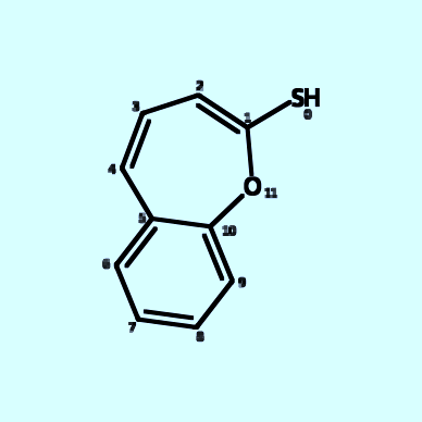 SC1=CC=Cc2ccccc2O1